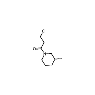 CC1CCCN(C(=O)CCCl)C1